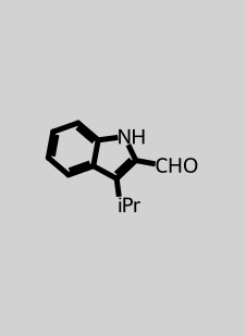 CC(C)c1c(C=O)[nH]c2ccccc12